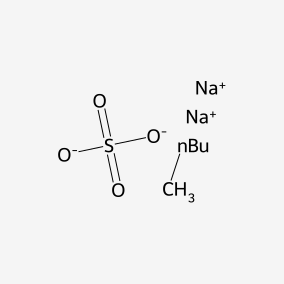 CCCCC.O=S(=O)([O-])[O-].[Na+].[Na+]